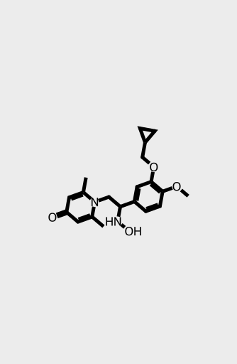 COc1ccc(C(Cn2c(C)cc(=O)cc2C)NO)cc1OCC1CC1